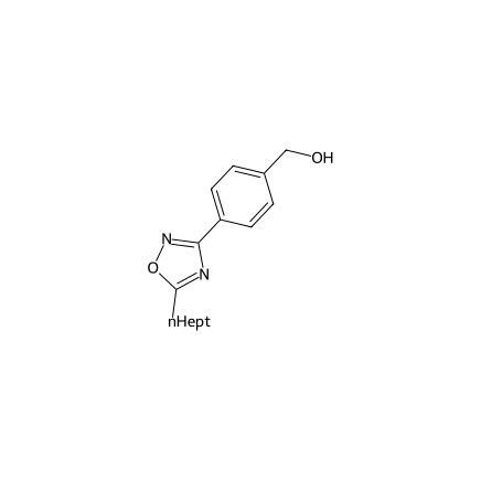 CCCCCCCc1nc(-c2ccc(CO)cc2)no1